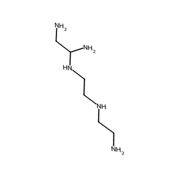 NCCNCCNC(N)CN